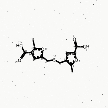 Cc1oc(C(=O)O)cc1CSCc1cc(C(=O)O)c(C)o1